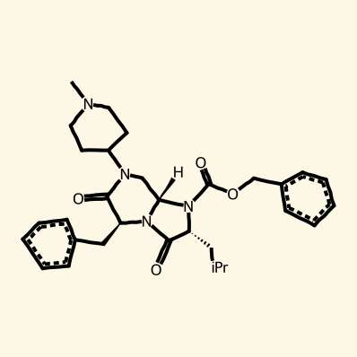 CC(C)C[C@@H]1C(=O)N2[C@H](CN(C3CCN(C)CC3)C(=O)[C@@H]2Cc2ccccc2)N1C(=O)OCc1ccccc1